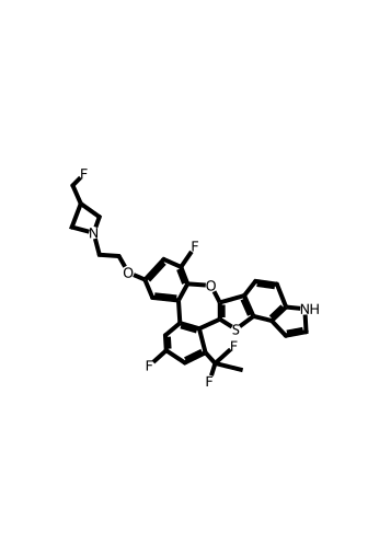 CC(F)(F)c1cc(F)cc2c1-c1sc3c(ccc4[nH]ccc43)c1Oc1c(F)cc(OCCN3CC(CF)C3)cc1-2